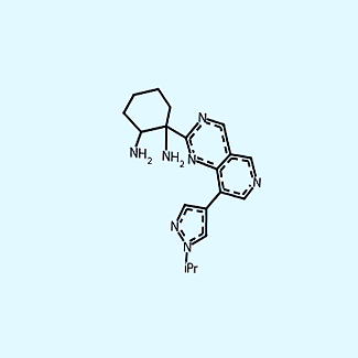 CC(C)n1cc(-c2cncc3cnc(C4(N)CCCCC4N)nc23)cn1